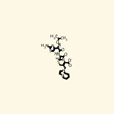 CC(C)O/N=C(/C(=O)N[C@@H]1C(=O)N2C(C(=O)[O-])=C(Cn3cc[n+]4ccccc34)CS[C@H]12)c1csc(N)n1